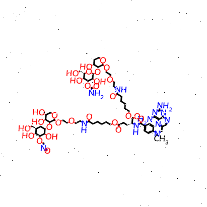 CN(Cc1cnc2nc(N)nc(N)c2n1)c1ccc(C(=O)N[C@H](CCC(=O)OCCCCCC(=O)NCCOCCOC2OC[C@@H](O)[C@H](O)[C@@H]2O[C@H]2C[C@H](CO)[C@@H](O)[C@H](OCN=O)[C@@H]2O)C(=O)OCCCCCC(=O)NCCOCCOC2OCC[C@@H](O)[C@H]2O[C@@H]2O[C@@H](CO)[C@H](O)[C@@H](OC(N)=O)[C@H]2O)cc1